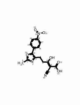 Cc1nc(CC/C(O)=C(\C#N)C(=O)O)c(-c2ccc([N+](=O)[O-])cc2)o1